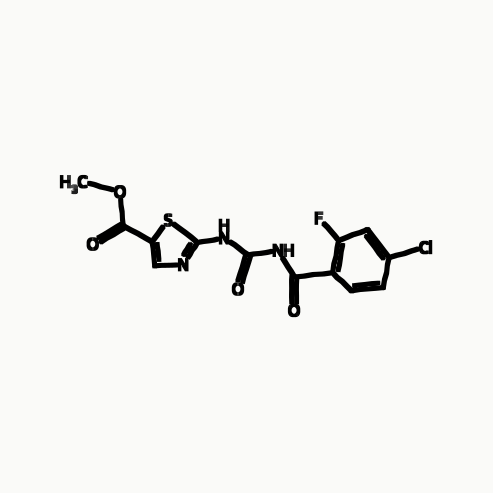 COC(=O)c1cnc(NC(=O)NC(=O)c2ccc(Cl)cc2F)s1